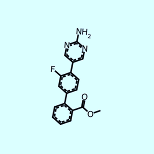 COC(=O)c1ccccc1-c1ccc(-c2cnc(N)nc2)c(F)c1